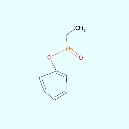 CC[PH](=O)Oc1ccccc1